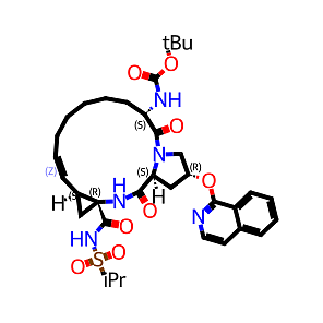 CC(C)S(=O)(=O)NC(=O)[C@@]12C[C@H]1/C=C\CCCCC[C@H](NC(=O)OC(C)(C)C)C(=O)N1C[C@H](Oc3nccc4ccccc34)C[C@H]1C(=O)N2